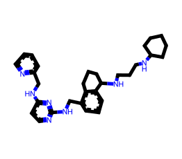 c1ccc(CNc2ccnc(NCc3cccc4c3CCCC4NCCCNC3CCCCC3)n2)nc1